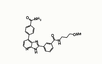 COCCCNC(=O)c1cccc(-c2nc3c(-c4ccc(C(N)=O)cc4)ccnc3[nH]2)c1